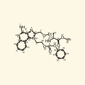 CCOCc1nc2c(N)nc3ccccc3c2n1CCO[P@@](=O)(N[C@@H](C)C(=O)OC(C)C)Oc1ccccc1